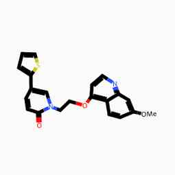 COc1ccc2c(OCCn3cc(-c4cccs4)ccc3=O)ccnc2c1